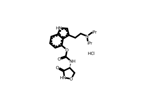 CC(C)N(CCc1c[nH]c2cccc(OC(=O)N[C@@H]3CONC3=O)c12)C(C)C.Cl